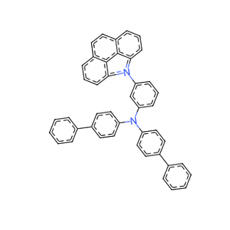 c1ccc(-c2ccc(N(c3ccc(-c4ccccc4)cc3)c3cccc(-n4c5cccc6ccc7cccc4c7c65)c3)cc2)cc1